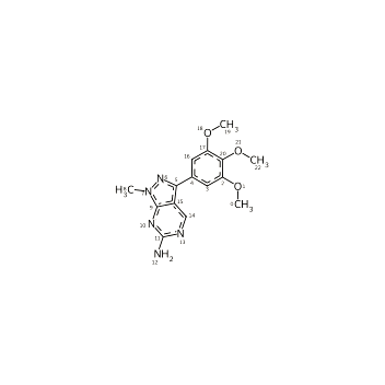 COc1cc(-c2nn(C)c3nc(N)ncc23)cc(OC)c1OC